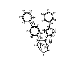 CN1C2CC[C@@H]1[C@H](c1nc(-c3ccccc3)no1)[C@@H](c1ccc(-c3ccccc3)cc1)C2